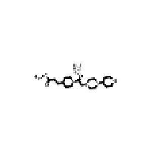 COC(=O)CCC1CCN(C(=O)CN2CCN(C3CCNCC3)CC2)CC1.Cl.Cl.Cl